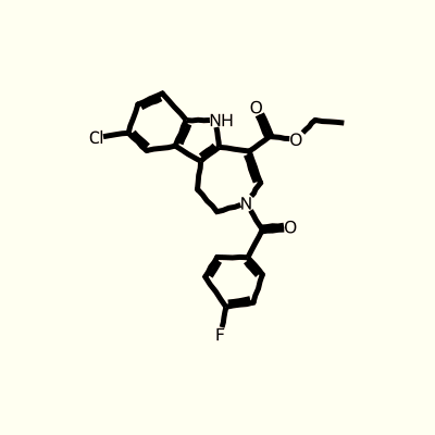 CCOC(=O)C1=CN(C(=O)c2ccc(F)cc2)CCc2c1[nH]c1ccc(Cl)cc21